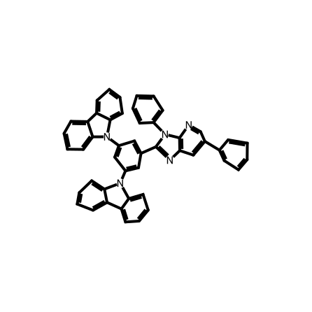 c1ccc(-c2cnc3c(c2)nc(-c2cc(-n4c5ccccc5c5ccccc54)cc(-n4c5ccccc5c5ccccc54)c2)n3-c2ccccc2)cc1